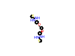 N=C(Nc1ccc(OC[C@H]2CC[C@H](Oc3cccc(NC(=N)c4cccs4)c3)C2)cc1)c1cccs1